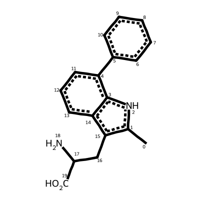 Cc1[nH]c2c(-c3ccccc3)cccc2c1CC(N)C(=O)O